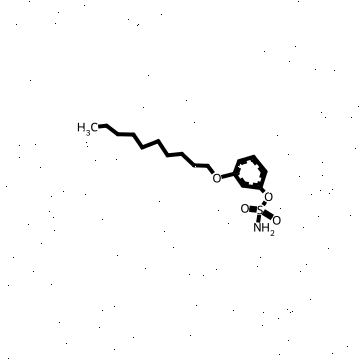 CCCCCCCCCCOc1cccc(OS(N)(=O)=O)c1